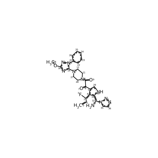 C=C/C(F)=c1/c(C(=O)C(=O)N2CCN(c3nc(OC)nn3-c3ccccc3)CC2)c[nH]/c1=C(/N)n1ccnn1